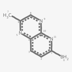 Bc1ccc2nc(C)cnc2n1